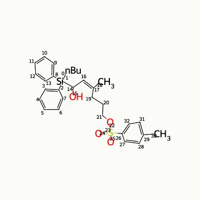 CCCC[Si](c1ccccc1)(c1ccccc1)C(O)C=C(C)CCCOS(=O)(=O)c1ccc(C)cc1